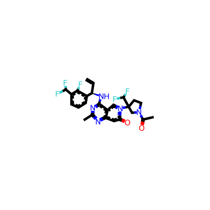 C=C[C@@H](Nc1nc(C)nc2cc(=O)n(C3(C(F)F)CCN(C(C)=O)C3)cc12)c1cccc(C(F)F)c1F